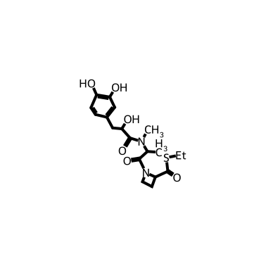 CCSC(=O)C1CCN1C(=O)C(C)N(C)C(=O)C(O)Cc1ccc(O)c(O)c1